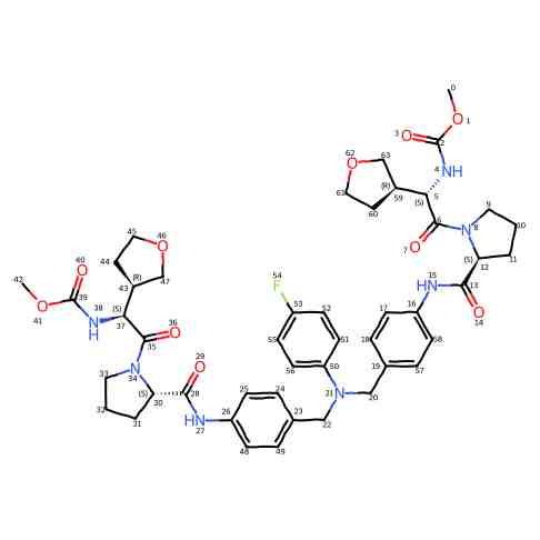 COC(=O)N[C@H](C(=O)N1CCC[C@H]1C(=O)Nc1ccc(CN(Cc2ccc(NC(=O)[C@@H]3CCCN3C(=O)[C@@H](NC(=O)OC)[C@H]3CCOC3)cc2)c2ccc(F)cc2)cc1)[C@H]1CCOC1